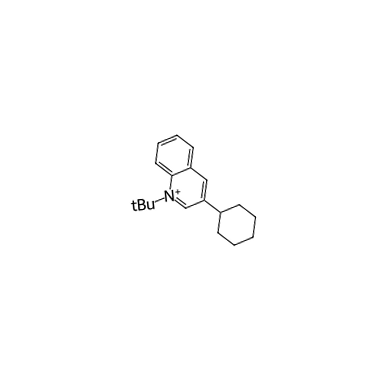 CC(C)(C)[n+]1cc(C2CCCCC2)cc2ccccc21